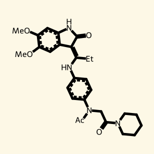 CCC(Nc1ccc(N(CC(=O)N2CCCCC2)C(C)=O)cc1)=C1C(=O)Nc2cc(OC)c(OC)cc21